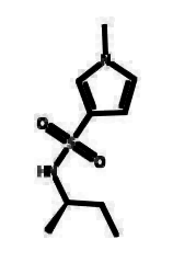 CC[C@@H](C)NS(=O)(=O)c1ccn(C)c1